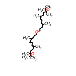 CC(=CCCOCCC=C(C)CCC=C(C)CCC1(C)OC1(C)C)CCC=C(C)CCC1(C)OC1(C)C